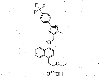 CCOC(Cc1ccc(OCc2sc(-c3ccc(C(F)(F)F)cc3)nc2C)c2ccccc12)C(=O)O